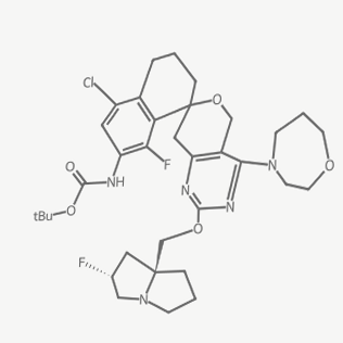 CC(C)(C)OC(=O)Nc1cc(Cl)c2c(c1F)C1(CCC2)Cc2nc(OC[C@@]34CCCN3C[C@H](F)C4)nc(N3CCCOCC3)c2CO1